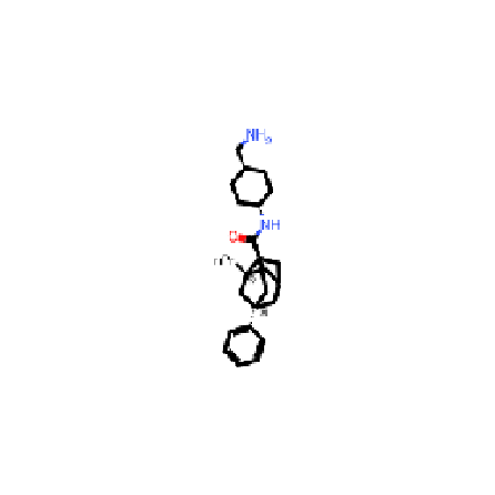 CCC[C@]12CC3CC1(C(=O)N[C@H]1CC[C@H](CN)CC1)C[C@@](c1ccccc1)(C3)C2